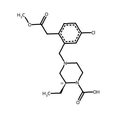 CC[C@H]1CN(Cc2cc(Cl)ccc2CC(=O)OC)CCN1C(=O)O